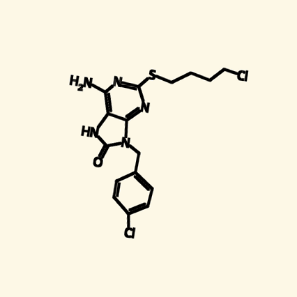 Nc1nc(SCCCCCl)nc2c1[nH]c(=O)n2Cc1ccc(Cl)cc1